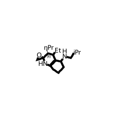 CCC[C@@H]1C(CC)C2=C(CCCC2NCC(C)C)NC12CO2